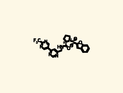 O=C(NCc1cc(-c2cnc(C(F)(F)F)nc2)ncn1)[C@@H]1CCCN1S(=O)(=O)c1cc2ccccc2o1